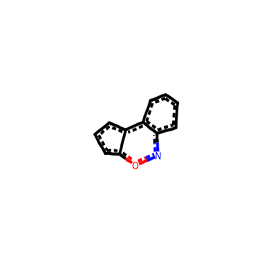 c1cc2onc3ccccc3c-2c1